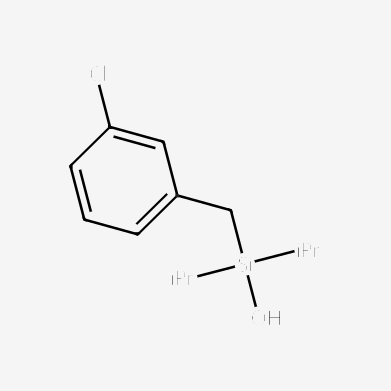 CC(C)[Si](O)(Cc1cccc(Cl)c1)C(C)C